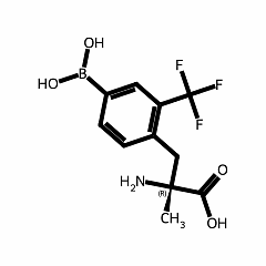 C[C@@](N)(Cc1ccc(B(O)O)cc1C(F)(F)F)C(=O)O